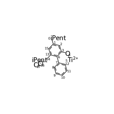 CCCC(C)c1cc([O][Ti+2])c(-c2ccccc2)c(C(C)CCC)c1.[Cl-].[Cl-]